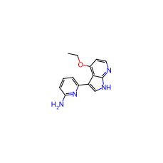 CCOc1ccnc2[nH]cc(-c3cccc(N)n3)c12